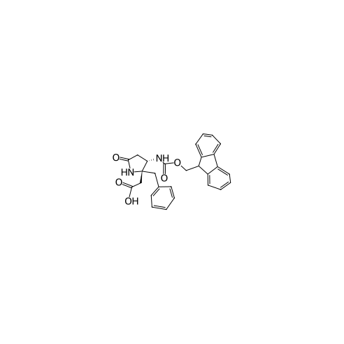 O=C(O)C[C@@]1(Cc2ccccc2)NC(=O)C[C@@H]1NC(=O)OCC1c2ccccc2-c2ccccc21